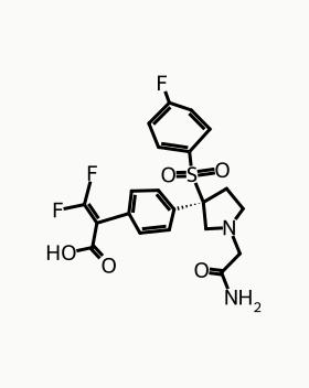 NC(=O)CN1CC[C@](c2ccc(C(C(=O)O)=C(F)F)cc2)(S(=O)(=O)c2ccc(F)cc2)C1